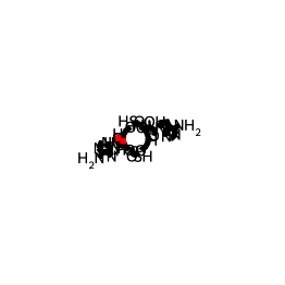 Nc1ncnc2c1ccn2[C@@H]1O[C@@H]2CCOP(=O)(S)O[C@@H]3[C@H](O)[C@@H](COP(=O)(S)O[C@H]2[C@H]1O)O[C@H]3n1cnc2c(N)ncnc21